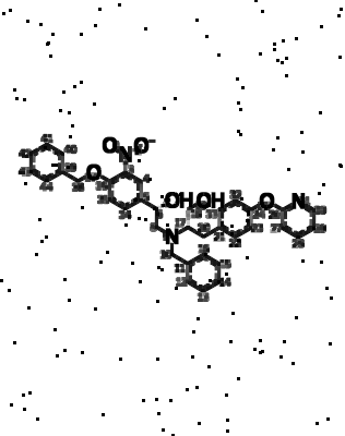 O=[N+]([O-])c1cc([C@H](O)CN(Cc2ccccc2)[C@H](CO)Cc2ccc(Oc3ccccn3)cc2)ccc1OCc1ccccc1